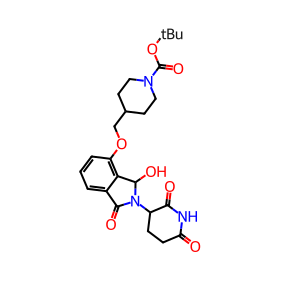 CC(C)(C)OC(=O)N1CCC(COc2cccc3c2C(O)N(C2CCC(=O)NC2=O)C3=O)CC1